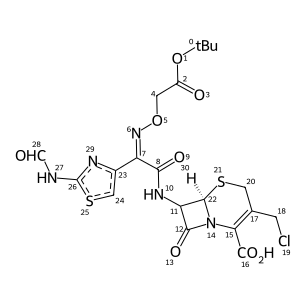 CC(C)(C)OC(=O)CO/N=C(\C(=O)NC1C(=O)N2C(C(=O)O)=C(CCl)CS[C@H]12)c1csc(NC=O)n1